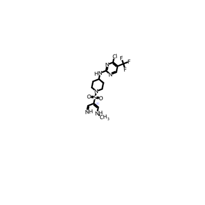 CN/C=C(\C=N)S(=O)(=O)N1CCC(Nc2ncc(C(F)(F)F)c(Cl)n2)CC1